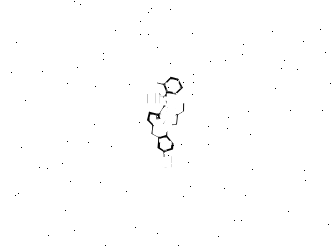 CCCCOc1ccc(Cl)cc1Cc1ccc(C(=O)Nc2ccccc2C)o1